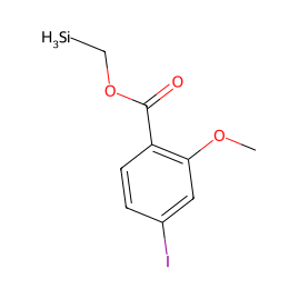 COc1cc(I)ccc1C(=O)OC[SiH3]